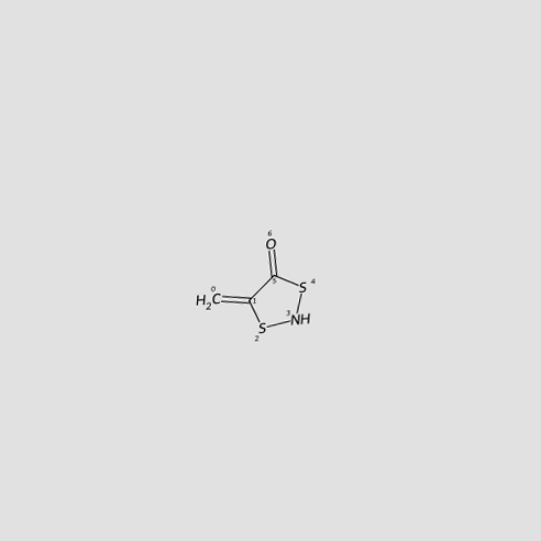 C=C1SNSC1=O